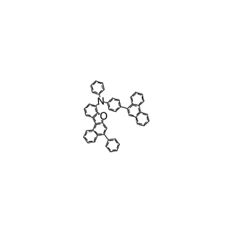 c1ccc(-c2cc3oc4c(N(c5ccccc5)c5ccc(-c6cc7ccccc7c7ccccc67)cc5)cccc4c3c3ccccc23)cc1